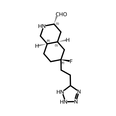 O=C[C@@H]1C[C@H]2C[C@](F)(CCC3N=NNN3)CC[C@H]2CN1